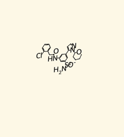 N[S+]([O-])c1cc(NC(=O)Cc2ccccc2Cl)cc(-c2ccnn2C2CCCCO2)c1